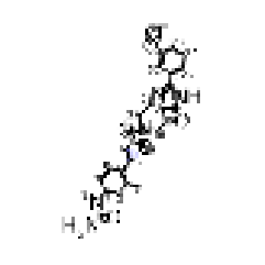 Cc1cc(N(C)C(N)=O)ccc1/C=C/S(=O)(=O)N1CCC2(CC1)N=C(c1cccc(OC(F)(F)F)c1)NC2=O